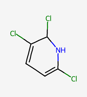 ClC1=CC=C(Cl)C(Cl)N1